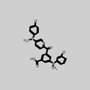 CN(c1ccc(Cl)cc1)c1ccc(C(=O)c2cc(C(=O)O)cc(N(C)c3cccc(Cl)c3)c2)nc1